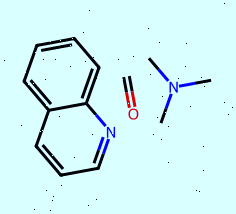 C=O.CN(C)C.c1ccc2ncccc2c1